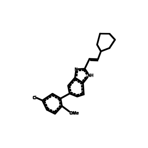 COc1ccc(Cl)cc1-c1ccc2[nH]c(/C=C/C3CCCCC3)nc2c1